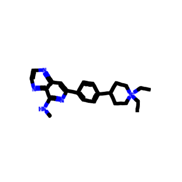 CC[N+]1(CC)CCC(c2ccc(-c3cc4nccnc4c(NC)n3)cc2)CC1